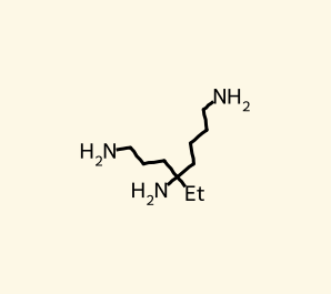 [CH2]CC(N)(CCCN)CCCCN